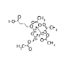 CC(=O)OC[C@H]1O[C@@H](OCCCC(=O)O)[C@H](OC(C)=O)[C@@H](OC(C)=O)[C@@H]1OC(C)=O